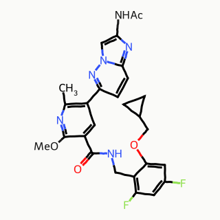 COc1nc(C)c(-c2ccc3nc(NC(C)=O)cn3n2)cc1C(=O)NCc1c(F)cc(F)cc1OCC1CC1